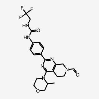 CC1COCCN1c1nc(-c2ccc(NC(=O)NCC(F)(F)F)cc2)nc2c1CCN(C=O)C2